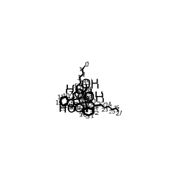 CCCCCCCCC1(c2ccccc2)C(O)[C@@]2(O)C(CCCCCCCC)(c3ccccc3)[C@@](O)([C@H](O)CO)[C@@]12O